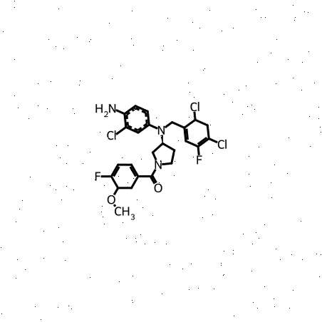 COC1CC(C(=O)N2CC[C@H](N(CC3=CC(F)=C(Cl)CC3Cl)c3ccc(N)c(Cl)c3)C2)=CC=C1F